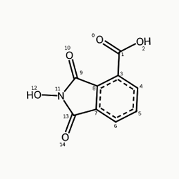 O=C(O)c1cccc2c1C(=O)N(O)C2=O